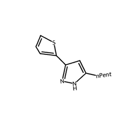 CCCCCc1cc(-c2cccs2)n[nH]1